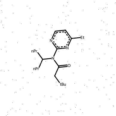 CCCC(CCC)N(C(=O)CC(C)(C)C)c1nccc(CC)n1